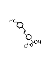 O=C1OC(O)c2ccc(/C=C/c3ccc(O)cc3)cc21